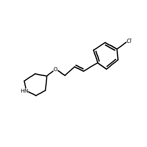 Clc1ccc(C=CCOC2CCNCC2)cc1